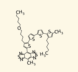 CCCCCOCCCCc1cc(-c2c3c(c(C)c4nsnc24)N=S=N3)sc1-c1ccc(-c2ccc(-c3sc(C)cc3CCCCC)s2)s1